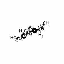 CCOC(=O)N=C(N)c1ccc2c(c1)OCCN(C(C)C(=O)N1CCC(OCC(=O)O)CC1)C2=O